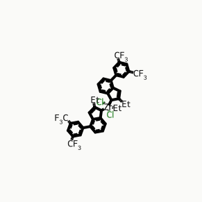 CCC1=Cc2c(-c3cc(C(F)(F)F)cc(C(F)(F)F)c3)cccc2[CH]1[Zr]([Cl])([Cl])([CH2]C)[CH]1C(CC)=Cc2c(-c3cc(C(F)(F)F)cc(C(F)(F)F)c3)cccc21